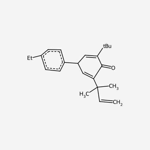 C=CC(C)(C)C1=CC(c2ccc(CC)cc2)C=C(C(C)(C)C)C1=O